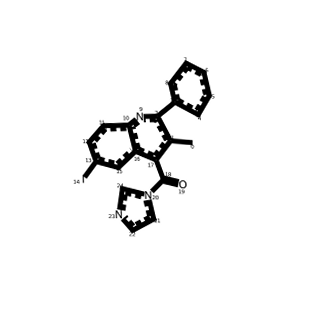 Cc1c(-c2ccccc2)nc2ccc(I)cc2c1C(=O)n1ccnc1